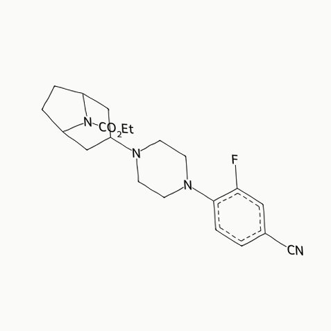 CCOC(=O)N1C2CCC1CC(N1CCN(c3ccc(C#N)cc3F)CC1)C2